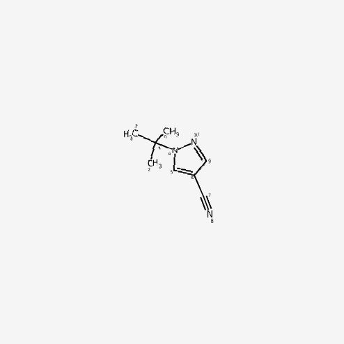 CC(C)(C)n1[c]c(C#N)cn1